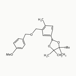 CCCCC1(C)OB(c2ccc(C)c(COCc3ccc(OC)cc3)c2)OC1(C)C